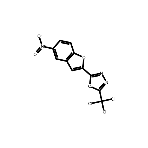 O=[N+]([O-])c1ccc2oc(-c3nnc(C(Cl)(Cl)Cl)o3)cc2c1